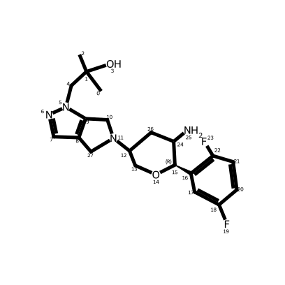 CC(C)(O)Cn1ncc2c1CN(C1CO[C@H](c3cc(F)ccc3F)C(N)C1)C2